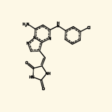 Nc1cc(Nc2cccc(Cl)c2)nc2c(C=C3NC(=O)NC3=O)cnn12